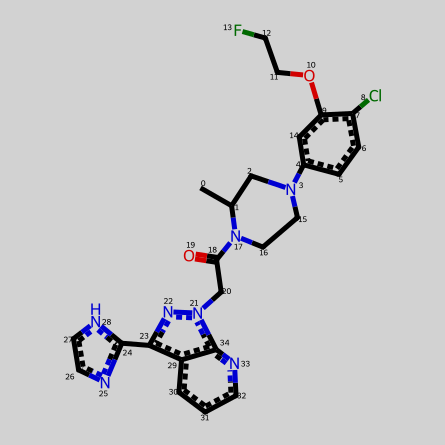 CC1CN(c2ccc(Cl)c(OCCF)c2)CCN1C(=O)Cn1nc(-c2ncc[nH]2)c2cccnc21